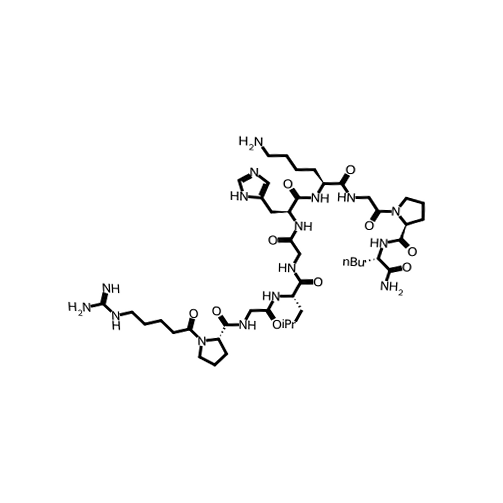 CCCC[C@H](NC(=O)[C@@H]1CCCN1C(=O)CNC(=O)[C@H](CCCCN)NC(=O)[C@H](Cc1cnc[nH]1)NC(=O)CNC(=O)[C@H](CC(C)C)NC(=O)CNC(=O)[C@@H]1CCCN1C(=O)CCCCNC(=N)N)C(N)=O